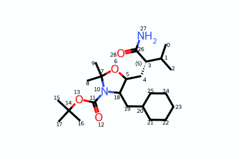 CC(C)[C@H](CC1OC(C)(C)N(C(=O)OC(C)(C)C)C1CC1CCCCC1)C(N)=O